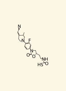 CC1CN(c2ccc(N3CC(CCNC(=O)S)OC3=O)cc2F)CC/C1=C/C#N